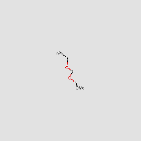 [CH2]CCCOCOCOC